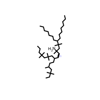 CCCCCCCCC(CCCCCCC)C(C)(C)CC(C)(N)/C=C\C(CCC(C)CC(C)(C)CC)CC(C)(C)CC(C)(C)CCC